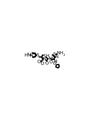 CN[n+]1ccc(SCC2=C(C(=O)[O-])N3C(=O)[C@@H](NC(=O)/C(=N\OC4CCCC4)c4csc(N)n4)[C@H]3SC2)cc1